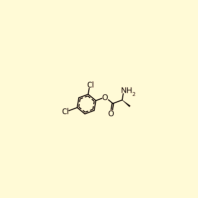 C[C@H](N)C(=O)Oc1ccc(Cl)cc1Cl